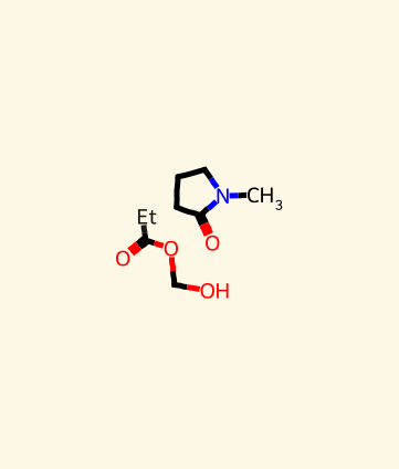 CCC(=O)OCO.CN1CCCC1=O